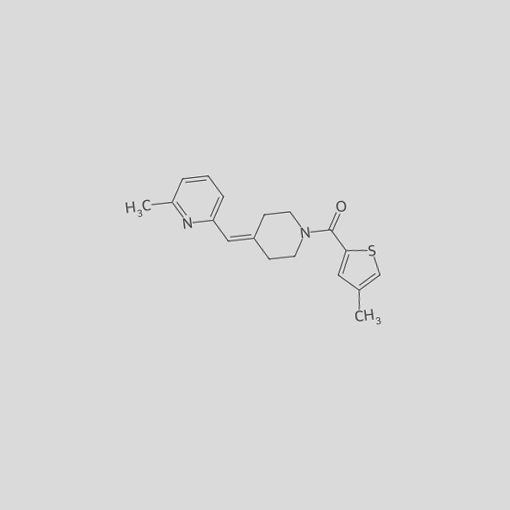 Cc1csc(C(=O)N2CCC(=Cc3cccc(C)n3)CC2)c1